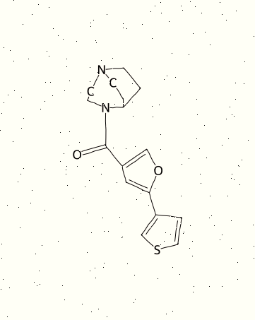 O=C(c1coc(-c2ccsc2)c1)N1CCN2CCC1CC2